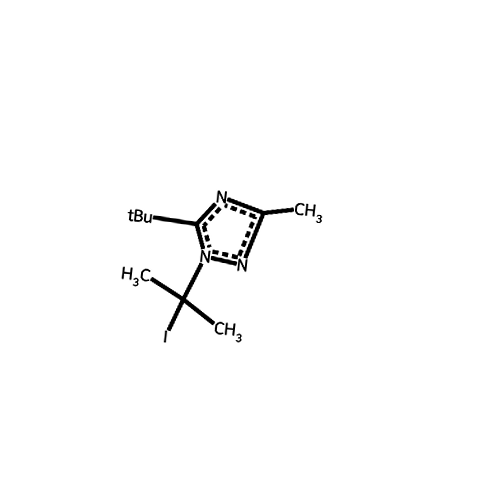 Cc1nc(C(C)(C)C)n(C(C)(C)I)n1